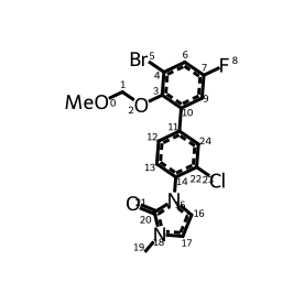 COCOc1c(Br)cc(F)cc1-c1ccc(-n2ccn(C)c2=O)c(Cl)c1